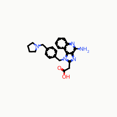 Nc1nc2ccccc2c2c1nc(CC(=O)O)n2Cc1ccc(CN2CCCC2)cc1